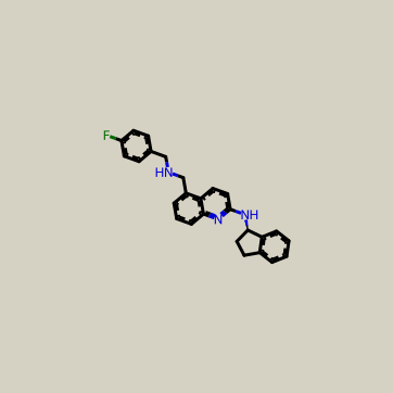 Fc1ccc(CNCc2cccc3nc(N[C@@H]4CCc5ccccc54)ccc23)cc1